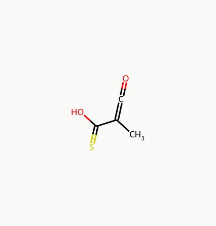 CC(=C=O)C(O)=S